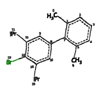 Cc1cccc(C)c1-c1cc(C(C)C)c(Br)c(C(C)C)c1